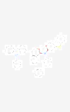 c1ccc(-c2ccccc2-c2c(-c3ccccc3)cccc2N(c2ccc(-c3ccc4c5ccccc5n(-c5ccccc5)c4c3)cc2)c2ccc3c(c2)sc2ccccc23)cc1